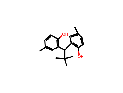 Cc1ccc(O)c(C(c2cc(C)ccc2O)C(C)(C)C)c1